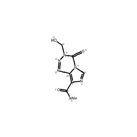 CNC(=O)c1ncn2c(=O)n(CO)nnc12